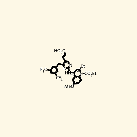 CCOC(=O)N1c2ccc(OC)cc2[C@@H](Nc2ncc(C=CC(=O)O)c(Cc3cc(C(F)(F)F)cc(C(F)(F)F)c3)n2)C[C@H]1CC